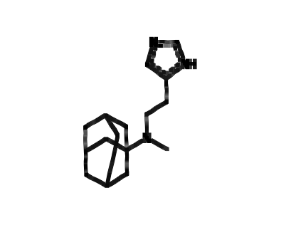 CN(CCc1cnc[nH]1)C12CC3CC(CC(C3)C1)C2